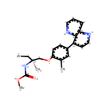 CC(C)C[C@@](C)(COc1ccc(-c2ccnc3cccnc23)cc1C#N)NC(=O)OC(C)(C)C